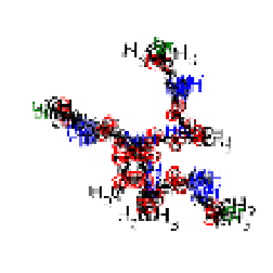 CCOC(=O)CCC(=O)OCC(COC(=O)CCC(=O)OCC1(NC(=O)CCC(=O)OC/C(=C/NCCCOC(=O)C(C)(C)Br)N=N)COC(C)(C)OC1)(COC(=O)CCC(=O)OCC1(NC(=O)CCC(=O)OC/C(=C/NCCCOC(=O)C(C)(C)Br)N=N)COC(C)(C)OC1)NC(=O)CCC(=O)OC/C(=C/NCCCOC(=O)C(C)(C)Br)N=N